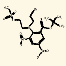 CC(C)(C)OC(=O)c1cc([N+](=O)[O-])cc([N+](=O)[O-])c1N(CCBr)CCOS(C)(=O)=O